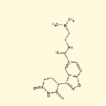 CN(C)CCNC(=O)c1ccc2onc(C3CCC(=O)NC3=O)c2c1